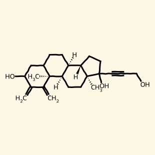 C=C1C(=C)[C@@]2(C)C(CC[C@@H]3[C@H]2CC[C@@]2(C)[C@H]3CCC2(O)C#CCO)CC1O